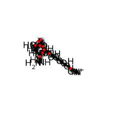 [N-]=[N+]=NCC(=O)NCCOCCOCCOCCOCCC(=O)NCCCC[C@@H]1NC(=O)N(Cc2ccccc2)NC(=O)[C@H](CC(=O)O)NC(=O)CNC(=O)[C@H](CCCNC(=N)N)NC1=O